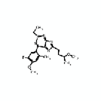 CCn1nc2nc(CCC(C)OC)nc-2c(-c2cc(F)c(OC)cc2C)n1